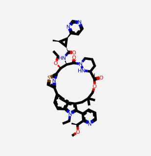 CCO[C@@H]1c2nc(cs2)-c2ccc3c(c2)c(c(-c2cccnc2[C@H](C)OC)n3CC)CC(C)(C)COC(=O)[C@@H]2CCCN(N2)C(=O)[C@H]1NC(=O)[C@@H]1[C@@H](C)[C@H]1c1ccncn1